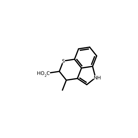 CC1c2c[nH]c3cccc(c23)SC1C(=O)O